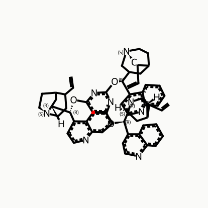 C=CC1C[N@@]2CCC1CC([C@@H](Oc1nc(O[C@H](c3ccnc4ccccc34)[C@H]3CC4CC[N@]3CCC4C=C)cc(O[C@H](c3ccnc4ccccc34)[C@@H]3CC4CC[N@@]3C[C@@H]4C=C)n1)c1ccnc3ccccc13)C2